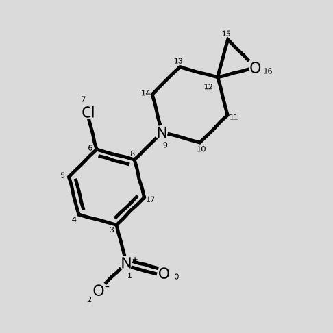 O=[N+]([O-])c1ccc(Cl)c(N2CCC3(CC2)CO3)c1